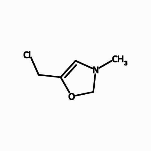 CN1C=C(CCl)OC1